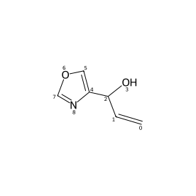 C=CC(O)c1cocn1